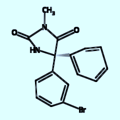 CN1C(=O)N[C@](c2ccccc2)(c2cccc(Br)c2)C1=O